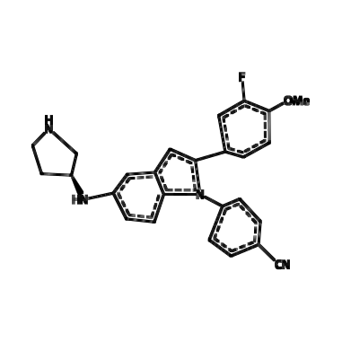 COc1ccc(-c2cc3cc(N[C@H]4CCNC4)ccc3n2-c2ccc(C#N)cc2)cc1F